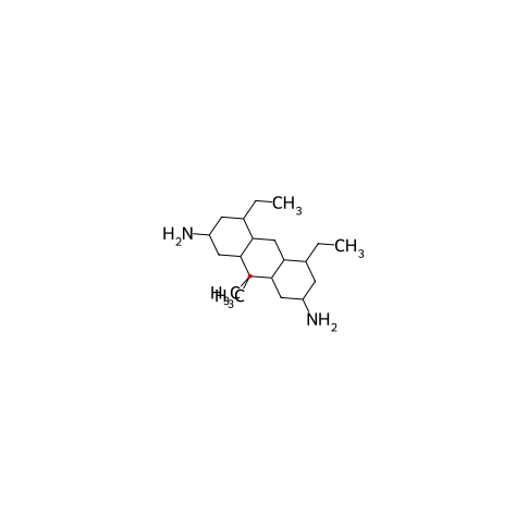 CCC1CC(N)CC(CC)C1CC1C(CC)CC(N)CC1CC